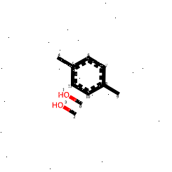 CO.CO.Cc1ccc(C)cc1